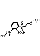 CCCONc1cccc(S(=O)(=O)CCOS(=O)(=O)O)c1S(=O)(=O)O